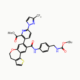 COC(=O)c1nc(-n2ccc(C(F)(F)F)n2)ccc1-c1cc2c(cc1C(=O)Nc1ccc(CNC(=O)OC(C)(C)C)cc1)-c1sccc1CCO2